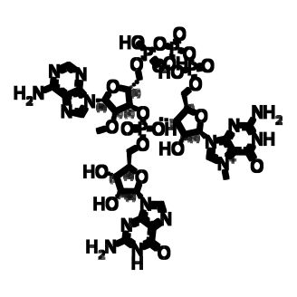 CO[C@@H]1[C@H](OP(=O)(O)OC[C@H]2O[C@@H](n3cnc4c(=O)[nH]c(N)nc43)[C@H](O)[C@@H]2O)[C@@H](COP(=O)(O)OP(=O)(O)OP(=O)(O)OC[C@H]2O[C@@H](n3c[n+](C)c4c(=O)[nH]c(N)nc43)[C@H](O)[C@@H]2C)O[C@H]1n1cnc2c(N)ncnc21